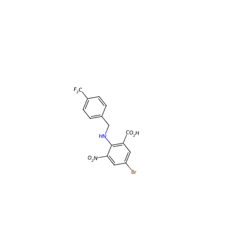 O=C(O)c1cc(Br)cc([N+](=O)[O-])c1NCc1ccc(C(F)(F)F)cc1